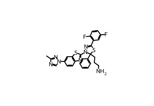 Cc1ncn(-c2ccc3nc(N4N=C(c5cc(F)ccc5F)SC4(CCCN)c4ccccc4)sc3c2)n1